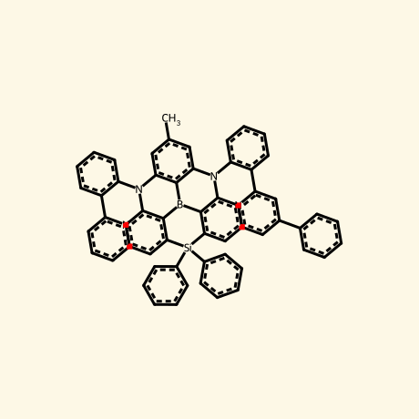 Cc1cc2c3c(c1)N(c1ccccc1-c1cc(-c4ccccc4)ccn1)c1cccc4c1B3c1c(cccc1[Si]4(c1ccccc1)c1ccccc1)N2c1ccccc1-c1ccccn1